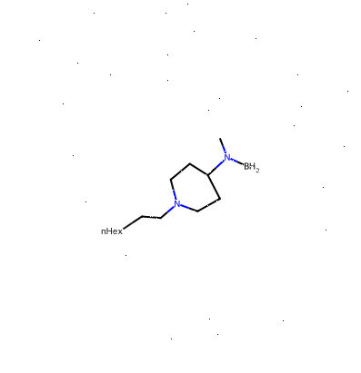 BN(C)C1CCN(CCCCCCCC)CC1